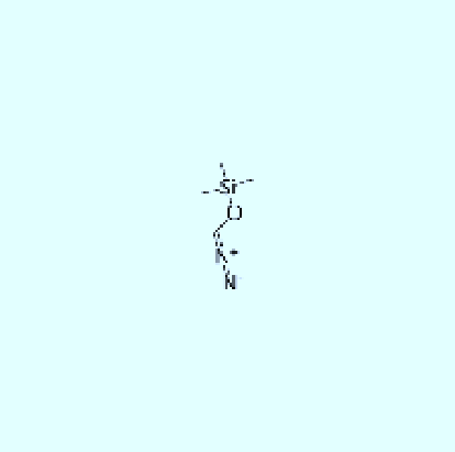 C[Si](C)(C)OC=[N+]=[N-]